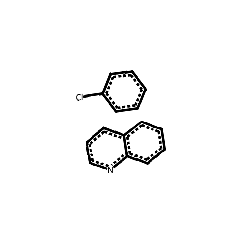 Clc1ccccc1.c1ccc2ncccc2c1